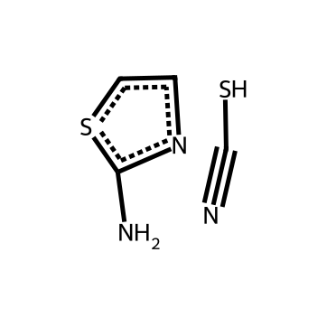 N#CS.Nc1nccs1